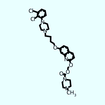 CN1CCN(C(=O)OCOc2ccc3ccc(OCCCCN4CCN(c5cccc(Cl)c5Cl)CC4)cc3n2)CC1